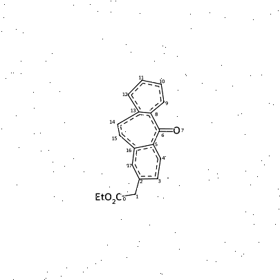 CCOC(=O)Cc1ccc2c(=O)c3ccccc3ccc2c1